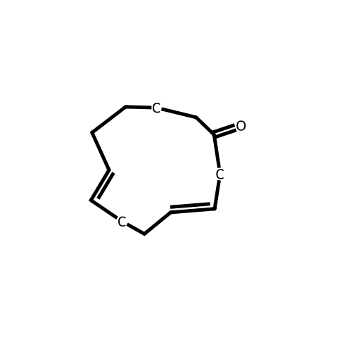 O=C1C/C=C/CC/C=C/CCCC1